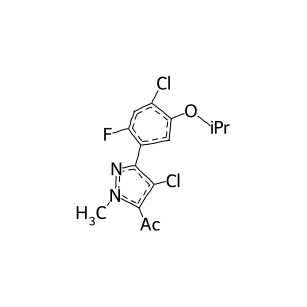 CC(=O)c1c(Cl)c(-c2cc(OC(C)C)c(Cl)cc2F)nn1C